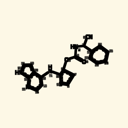 N#CC(NC(=O)Oc1ccsc1Nc1ccnc2[nH]ccc12)c1ccccc1